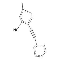 Cc1ccc(C#Cc2ccccc2)c(C#N)c1